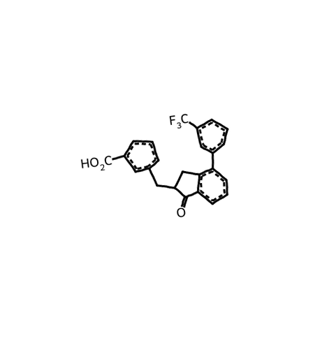 O=C(O)c1cccc(CC2Cc3c(cccc3-c3cccc(C(F)(F)F)c3)C2=O)c1